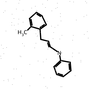 Cc1ccccc1CC=C[N]c1ccccc1